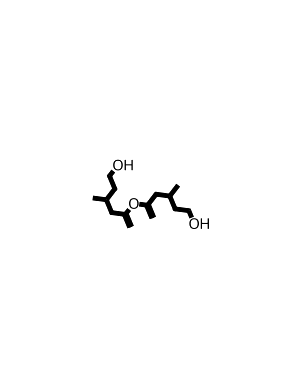 C=C(CC(C)CCO)OC(=C)CC(C)CCO